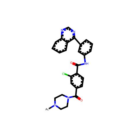 CC(=O)N1CCN(C(=O)c2ccc(C(=O)Nc3cccc(-c4ncnc5ccccc45)c3)c(Cl)c2)CC1